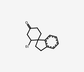 CCC1CC(=O)CCC12CCc1ccccc12